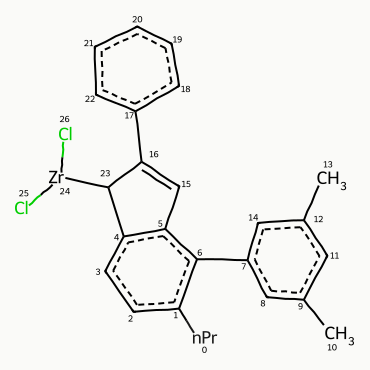 CCCc1ccc2c(c1-c1cc(C)cc(C)c1)C=C(c1ccccc1)[CH]2[Zr]([Cl])[Cl]